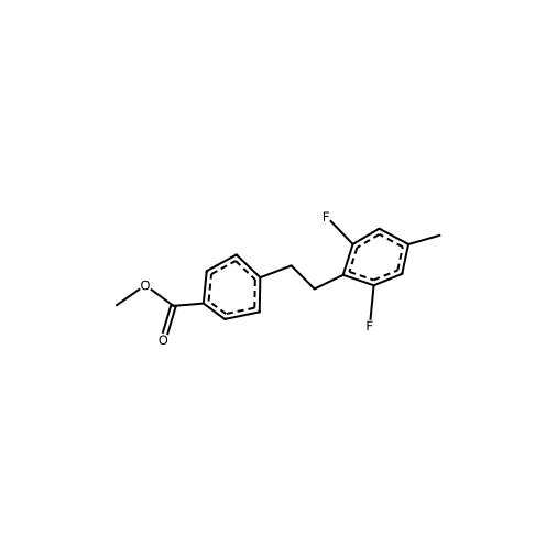 COC(=O)c1ccc(CCc2c(F)cc(C)cc2F)cc1